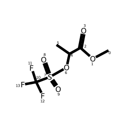 COC(=O)C(C)OS(=O)(=O)C(F)(F)F